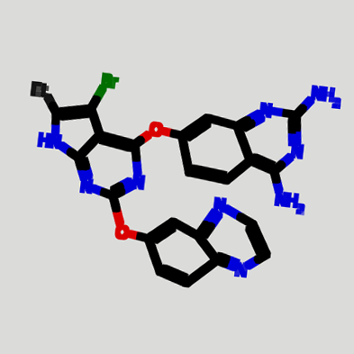 CCc1[nH]c2nc(Oc3ccc4nccnc4c3)nc(Oc3ccc4c(N)nc(N)nc4c3)c2c1Br